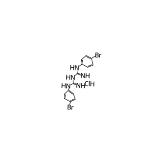 Cl.N=C(NC(=N)Nc1ccc(Br)cc1)Nc1ccc(Br)cc1